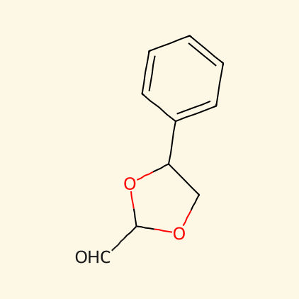 O=CC1OCC(c2ccccc2)O1